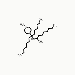 CCCCCCCC(C)NC(CCCCCC)(CCCCCCC)C1CCN(C)CC1